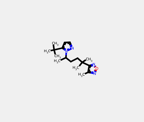 Cc1nonc1C(C)(C)CCC(C)n1nccc1C(C)(C)C